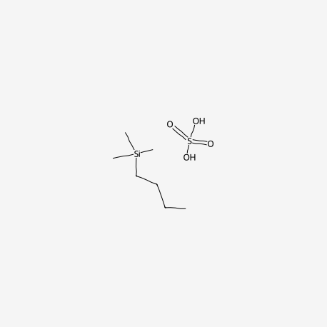 CCCC[Si](C)(C)C.O=S(=O)(O)O